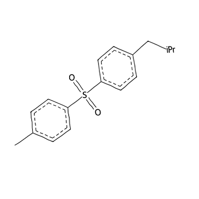 Cc1ccc(S(=O)(=O)c2ccc(CC(C)C)cc2)cc1